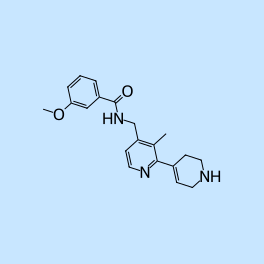 COc1cccc(C(=O)NCc2ccnc(C3=CCNCC3)c2C)c1